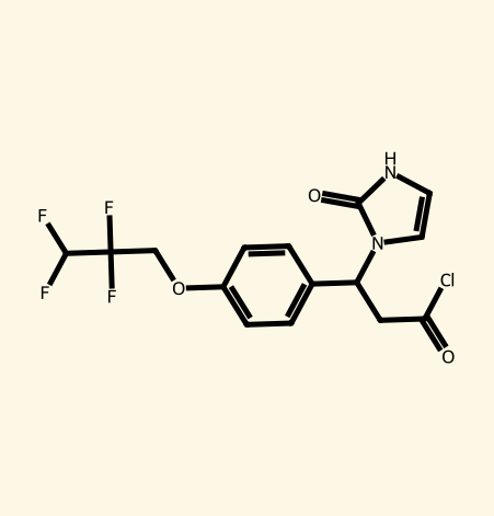 O=C(Cl)CC(c1ccc(OCC(F)(F)C(F)F)cc1)n1cc[nH]c1=O